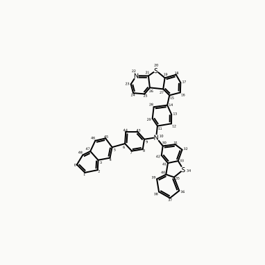 c1ccc2cc(-c3ccc(N(c4ccc(-c5cccc6sc7ncccc7c56)cc4)c4ccc5sc6ccccc6c5c4)cc3)ccc2c1